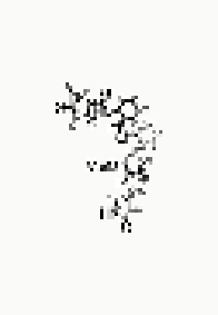 COc1cc(-c2cccc(-c3cccc(NC(=O)c4cn(C)c(=O)n(C)c4=O)c3Cl)c2Cl)cc(F)c1CN(C)[C@H]1CNC(=O)C1